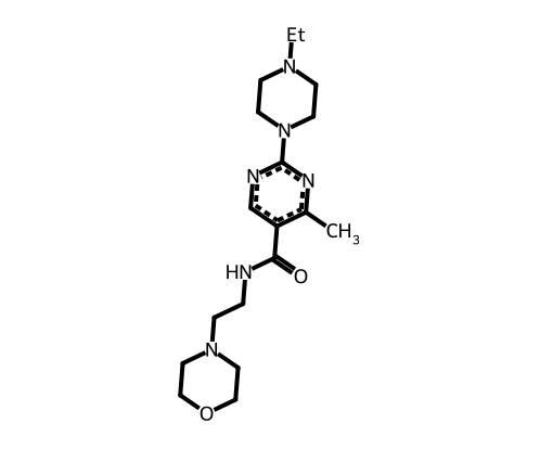 CCN1CCN(c2ncc(C(=O)NCCN3CCOCC3)c(C)n2)CC1